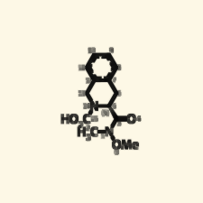 CON(C)C(=O)[C@@H]1Cc2ccccc2CN1C(=O)O